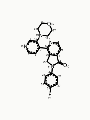 O=C1c2ccnc(-c3ccncc3N3CCOCC3)c2CN1c1ccc(F)cc1